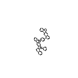 c1ccc(-n2c3cc4c(cc3c3ccc5ccccc5c32)c2ccccc2n4-c2ccc(-c3cccc4cc5oc6ccccc6c5cc34)cc2)cc1